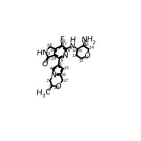 CC1Cn2cc(-c3nc(N[C@@H]4CCOC[C@@H]4N)c(F)c4c3C(=O)NC4)cc2CO1